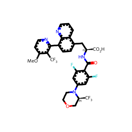 COc1ccnc(-c2ccc(C[C@H](NC(=O)c3c(F)cc(N4CCOC[C@@H]4C(F)(F)F)cc3F)C(=O)O)c3cccnc23)c1C(F)(F)F